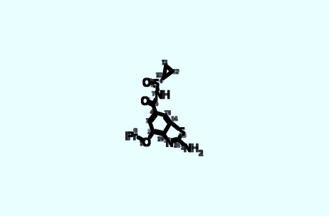 CC(C)Oc1cc(C(=O)N[S+]([O-])C2CC2)cc2sc(N)nc12